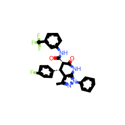 Cc1nn(-c2ccccc2)c2c1[C@H](c1ccc(F)cc1)[C@H](C(=O)Nc1cccc(C(F)(F)F)c1)C(=O)N2